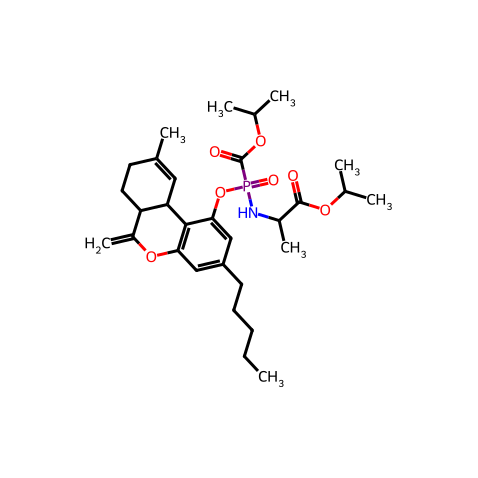 C=C1Oc2cc(CCCCC)cc(OP(=O)(NC(C)C(=O)OC(C)C)C(=O)OC(C)C)c2C2C=C(C)CCC12